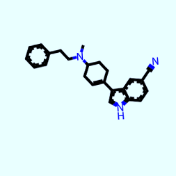 CN(CCc1ccccc1)C1CC=C(c2c[nH]c3ccc(C#N)cc23)CC1